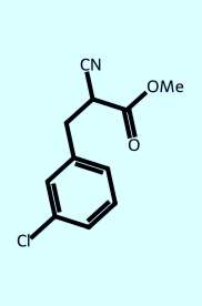 COC(=O)C(C#N)Cc1cccc(Cl)c1